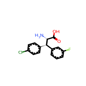 N[C@H](C(=O)O)[C@@H](c1ccc(Cl)cc1)c1cccc(F)c1